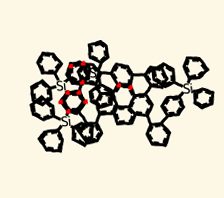 c1ccc([Si](c2ccccc2)(c2ccccc2)c2ccc(-c3ccccc3-c3cc(-c4ccccc4-c4ccc([Si](c5ccccc5)(c5ccccc5)c5ccccc5)cc4)c4ccc5c(-c6ccccc6-c6ccc([Si](c7ccccc7)(c7ccccc7)c7ccccc7)cc6)cc(-c6ccccc6-c6ccc([Si](c7ccccc7)(c7ccccc7)c7ccccc7)cc6)c6ccc3c4c65)cc2)cc1